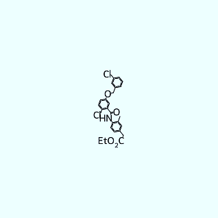 CCOC(=O)Cc1ccc(NC(=O)c2cc(OCc3cccc(Cl)c3)ccc2Cl)c(C)c1